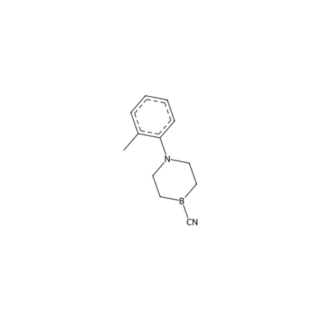 Cc1ccccc1N1CCB(C#N)CC1